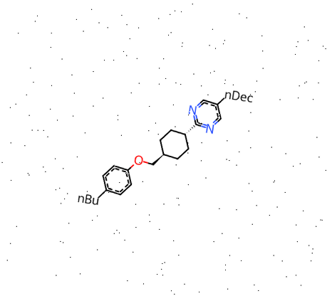 CCCCCCCCCCc1cnc([C@H]2CC[C@H](COc3ccc(CCCC)cc3)CC2)nc1